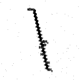 CCCCCCCCCCCCCCCCCCCCCCCCCCCCN(N)CC(=O)NCCCNCCCCNCCCN